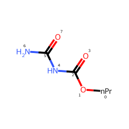 CCCOC(=O)NC(N)=O